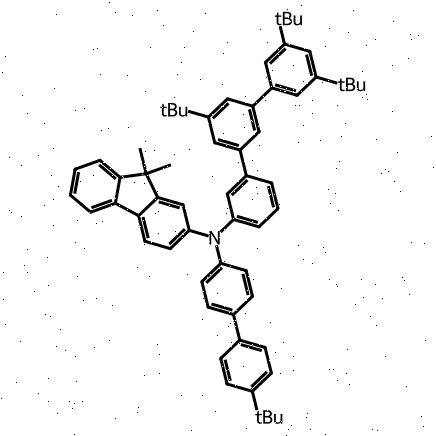 CC(C)(C)c1ccc(-c2ccc(N(c3cccc(-c4cc(-c5cc(C(C)(C)C)cc(C(C)(C)C)c5)cc(C(C)(C)C)c4)c3)c3ccc4c(c3)C(C)(C)c3ccccc3-4)cc2)cc1